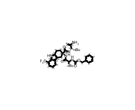 CCC(C)C(NC(=O)OCc1ccccc1)C(=O)N[C@]1(C(=O)N[C@H](C(N)=S)[C@@H](C)CC)CCc2[nH]c3c(C(F)(F)F)cccc3c2C1